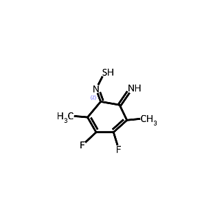 CC1=C(F)C(F)=C(C)/C(=N/S)C1=N